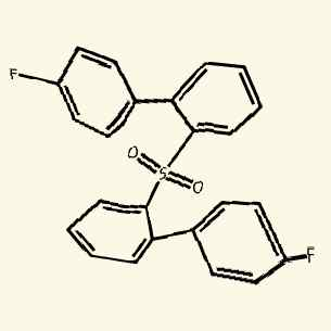 O=S(=O)(c1ccccc1-c1ccc(F)cc1)c1ccccc1-c1ccc(F)cc1